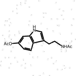 CC(=O)NCCc1c[nH]c2cc(OC(C)=O)ccc12